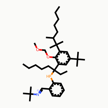 CCCCCC(C)C(C)(C)c1cc(C(C)(C)C)cc(C(CC)(CCCCC)Pc2ccccc2/C=N/C(C)(C)C)c1OCOC